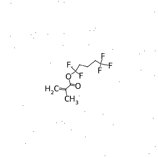 C=C(C)C(=O)OC(F)(F)CCCC(F)(F)F